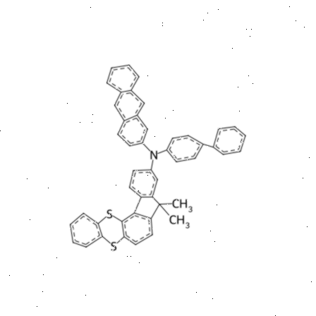 CC1(C)c2cc(N(c3ccc(-c4ccccc4)cc3)c3ccc4cc5ccccc5cc4c3)ccc2-c2c1ccc1c2Sc2ccccc2S1